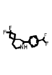 FC(F)c1ccc(C2CC3(CCN2)CC(F)(F)C3)cc1